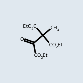 CCOC(=O)C(=O)C(C)(C(=O)OCC)C(=O)OCC